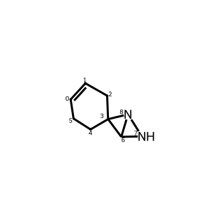 C1=CCC2(CC1)C1NN12